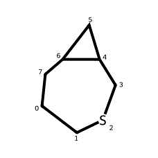 C1CSCC2CC2C1